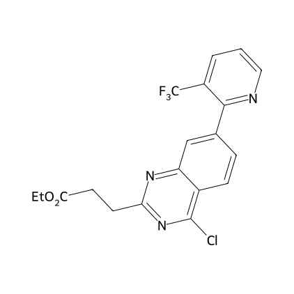 CCOC(=O)CCc1nc(Cl)c2ccc(-c3ncccc3C(F)(F)F)cc2n1